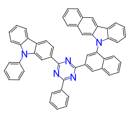 c1ccc(-c2nc(-c3cc(-n4c5ccccc5c5cc6ccccc6cc54)c4ccccc4c3)nc(-c3ccc4c5ccccc5n(-c5ccccc5)c4c3)n2)cc1